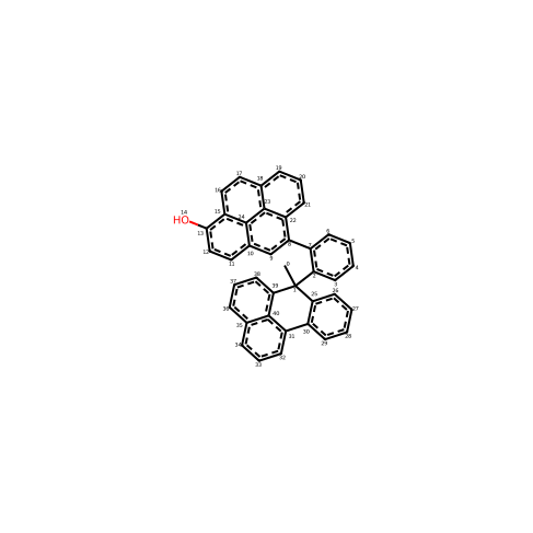 CC1(c2ccccc2-c2cc3ccc(O)c4ccc5cccc2c5c34)c2ccccc2-c2cccc3cccc1c23